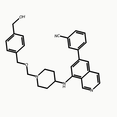 N#Cc1cccc(-c2cc(NC3CCN(COCc4ccc(CO)cc4)CC3)c3cnccc3c2)c1